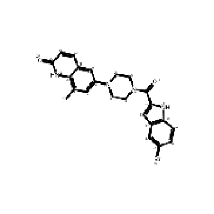 Cc1cc(N2CCN(C(=O)c3cc4cc(Br)ccc4[nH]3)CC2)cc2ccc(=O)[nH]c12